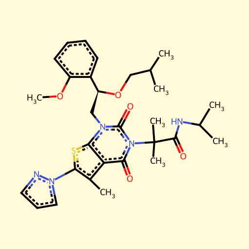 COc1ccccc1[C@H](Cn1c(=O)n(C(C)(C)C(=O)NC(C)C)c(=O)c2c(C)c(-n3cccn3)sc21)OCC(C)C